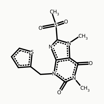 Cn1c(=O)c2c(nc(S(C)(=O)=O)n2C)n(Cc2cccs2)c1=O